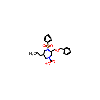 C=CCC1CN(C(=O)O)CC(COCc2ccccc2)N(S(=O)(=O)c2ccccc2)C1